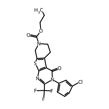 CCCOC(=O)N1CCc2c(sc3nc(C(F)(F)F)n(-c4cccc(Cl)c4)c(=O)c23)C1